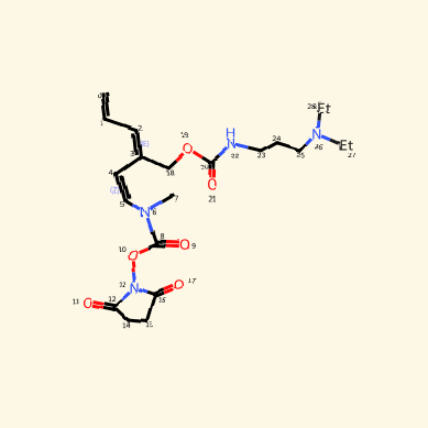 C=C/C=C(\C=C/N(C)C(=O)ON1C(=O)CCC1=O)COC(=O)NCCCN(CC)CC